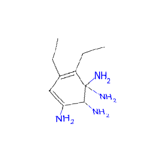 CCC1=C(CC)C(N)(N)C(N)C(N)=C1